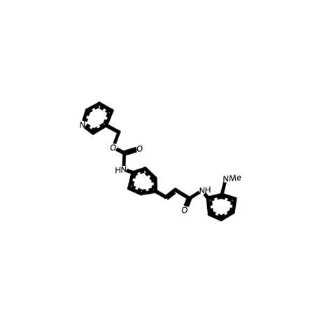 CNc1ccccc1NC(=O)/C=C/c1ccc(NC(=O)OCc2cccnc2)cc1